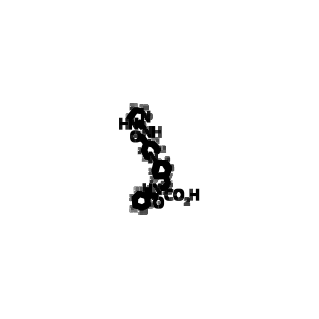 CC1(C(=O)NC(Cc2ccc(N3CCC(C(=O)NC4=NCCCN4)CC3)cc2)C(=O)O)CCCCC1